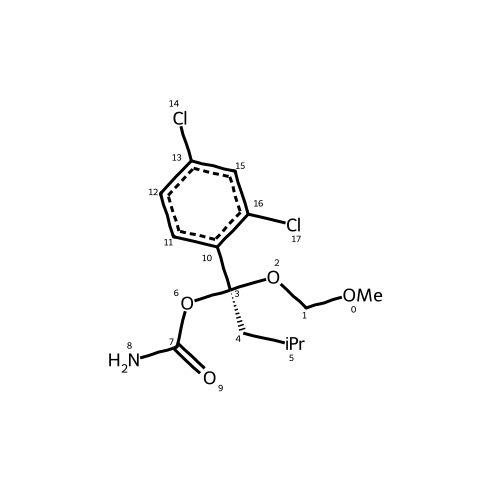 COCO[C@@](CC(C)C)(OC(N)=O)c1ccc(Cl)cc1Cl